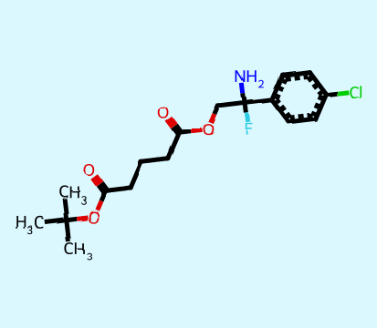 CC(C)(C)OC(=O)CCCC(=O)OCC(N)(F)c1ccc(Cl)cc1